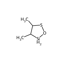 CC1[SiH2]OSC1C